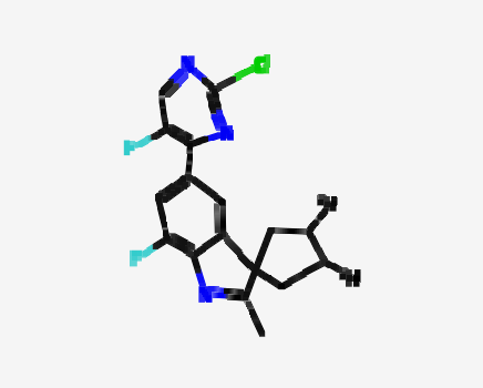 [2H]C1CC2(CC1[2H])C(C)=Nc1c(F)cc(-c3nc(Cl)ncc3F)cc12